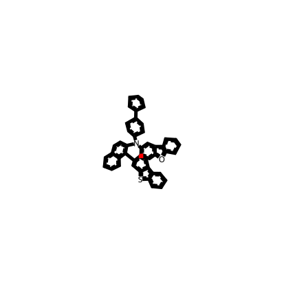 c1ccc(-c2ccc(N(c3ccc4oc5ccccc5c4c3)c3ccc4ccccc4c3-c3ccc4c(c3)sc3ccccc34)cc2)cc1